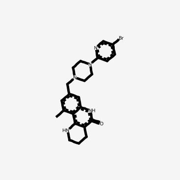 Cc1cc(CN2CCN(c3ccc(Br)cn3)CC2)cc2[nH]c(=O)c3c(c12)NCCC3